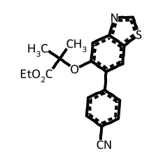 CCOC(=O)C(C)(C)Oc1cc2ncsc2cc1-c1ccc(C#N)cc1